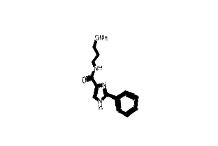 COCCCNC(=O)c1c[nH]c(-c2cc[c]cc2)n1